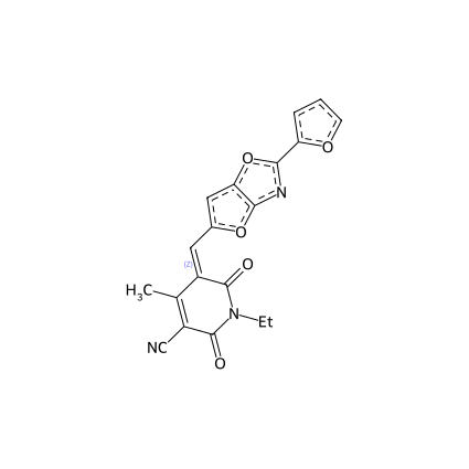 CCN1C(=O)C(C#N)=C(C)/C(=C/c2cc3oc(-c4ccco4)nc3o2)C1=O